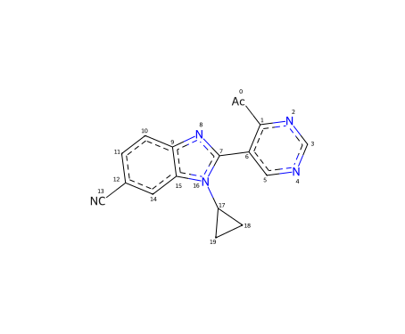 CC(=O)c1ncncc1-c1nc2ccc(C#N)cc2n1C1CC1